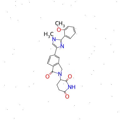 COc1ccccc1-c1nc(-c2ccc3c(c2)CN(C2CCC(=O)NC2=O)C3=O)cn1C